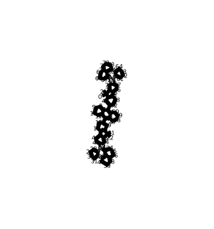 CC1(C)c2cc(-c3c4ccccc4c(-c4ccc5c(c4)C(C)(C)c4cc(N(c6ccccc6)c6cccc7ccccc67)ccc4-5)c4ccccc34)ccc2-c2ccc(N(c3ccccc3)c3cccc4ccccc34)cc21